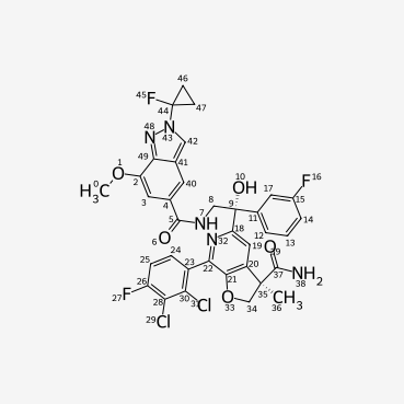 COc1cc(C(=O)NC[C@@](O)(c2cccc(F)c2)c2cc3c(c(-c4ccc(F)c(Cl)c4Cl)n2)OC[C@]3(C)C(N)=O)cc2cn(C3(F)CC3)nc12